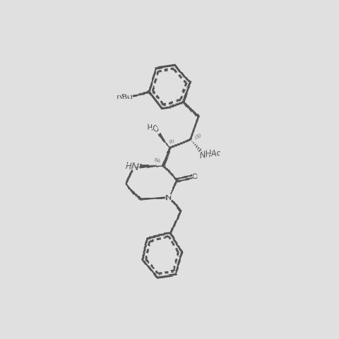 CCCCc1cccc(C[C@H](NC(C)=O)[C@H](O)[C@@H]2NCCN(Cc3ccccc3)C2=O)c1